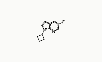 Fc1cnc2c(ccn2C2C[CH]C2)c1